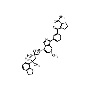 CN1C=C(NCC(O)(CC(C)(C)c2cccc3c2OCC3)C(F)(F)F)c2cnn(-c3cccc(C(=O)N4CCC[C@@H]4C(N)=O)c3)c2C1